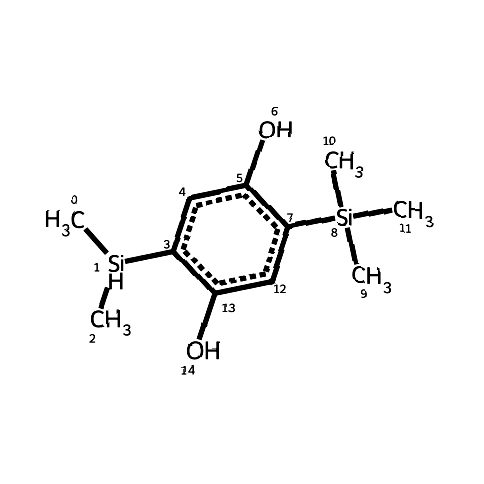 C[SiH](C)c1cc(O)c([Si](C)(C)C)cc1O